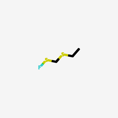 CCSCSF